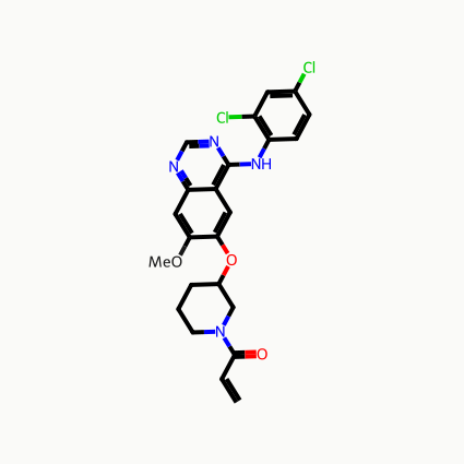 C=CC(=O)N1CCCC(Oc2cc3c(Nc4ccc(Cl)cc4Cl)ncnc3cc2OC)C1